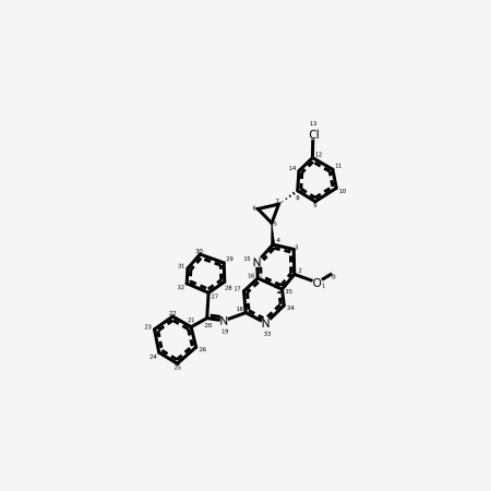 COc1cc([C@H]2C[C@@H]2c2cccc(Cl)c2)nc2cc(N=C(c3ccccc3)c3ccccc3)ncc12